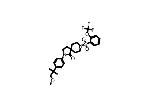 COCC(C)(C)c1ccc(N2CCC3(CCN(S(=O)(=O)c4ccccc4OC(F)(F)F)CC3)C2=O)cc1